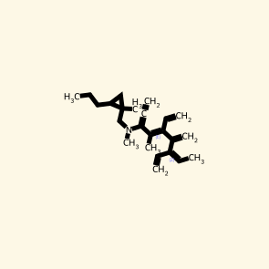 C=C=C(/C(C)=C(\C=C)C(=C)/C(C=C)=C\C)N(C)CC1(C)CC1CCC